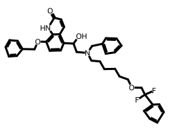 O=c1ccc2c(C(O)CN(CCCCCCOCC(F)(F)c3ccccc3)Cc3ccccc3)ccc(OCc3ccccc3)c2[nH]1